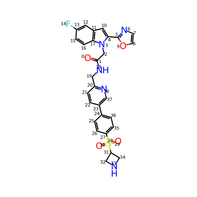 O=C(Cn1c(-c2ncco2)cc2cc(F)ccc21)NCc1ccc(-c2ccc(S(=O)(=O)C3CNC3)cc2)cn1